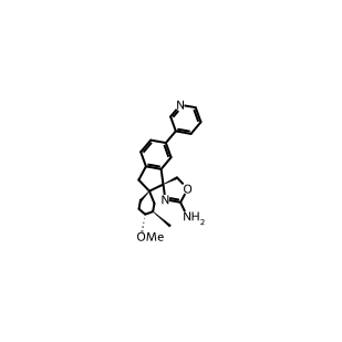 CO[C@@H]1CC[C@]2(Cc3ccc(-c4cccnc4)cc3[C@@]23COC(N)=N3)C[C@H]1C